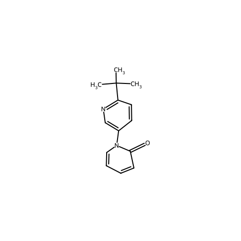 CC(C)(C)c1ccc(-n2ccccc2=O)cn1